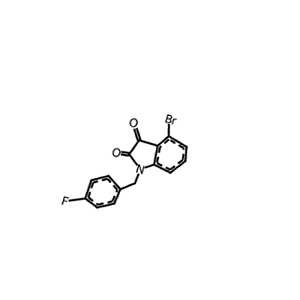 O=C1C(=O)N(Cc2ccc(F)cc2)c2cccc(Br)c21